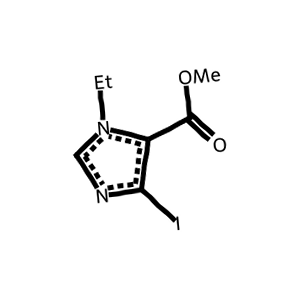 CCn1cnc(I)c1C(=O)OC